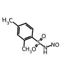 Cc1ccc(S(=O)(=O)NN=O)c(C)c1